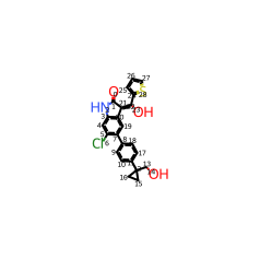 O=C1Nc2cc(Cl)c(-c3ccc(C4(CO)CC4)cc3)cc2C1=C(O)c1cccs1